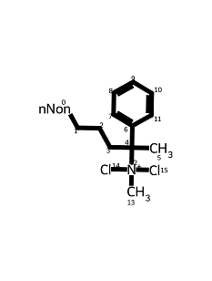 CCCCCCCCCCCCC(C)(c1ccccc1)[N+](C)(Cl)Cl